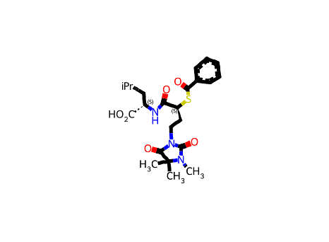 CC(C)C[C@H](NC(=O)[C@H](CCN1C(=O)N(C)C(C)(C)C1=O)SC(=O)c1ccccc1)C(=O)O